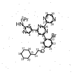 CCCNc1ncc(-c2cc(-c3cc(OCCC4CCCCC4)ccc3Br)nc(-c3cnccn3)n2)s1